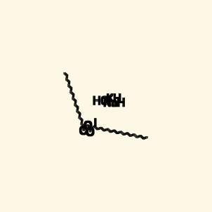 CCCCCCCCCCCCCCCCCC(=O)OC(=O)C(I)CCCCCCCCCCCCCCCC.Cl.[KH].[NaH]